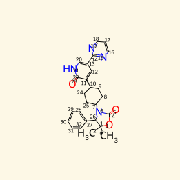 CC1(C)OC(=O)N([C@H]2CC[C@H](c3cc(-c4ncccn4)c[nH]c3=O)CC2)C1c1ccccc1